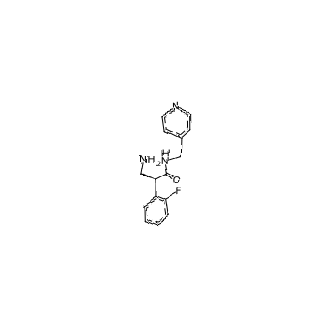 NC[C@@H](C(=O)NCc1ccncc1)c1ccccc1F